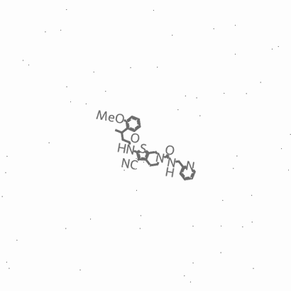 COc1ccccc1C(C)CC(=O)Nc1sc2c(c1C#N)CCN(C(=O)NCc1ccccn1)C2